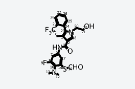 Cc1c(C(=O)Nc2cc(F)c(N(C)C)c(SC=O)c2)cn(CCO)c1-c1ccccc1C(F)(F)F